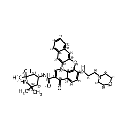 CC1(C)CC(NC(=O)c2cn3c4c(c(NCCN5CCOCC5)ccc4c2=O)Oc2cc4ccccc4cc2-3)CC(C)(C)N1